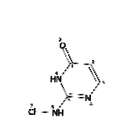 O=c1ccnc(NCl)[nH]1